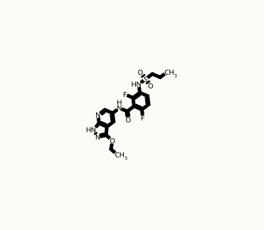 CCCS(=O)(=O)Nc1ccc(F)c(C(=O)Nc2cnc3[nH]nc(OCC)c3c2)c1F